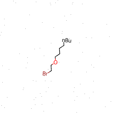 CCCCCCCCOCCBr